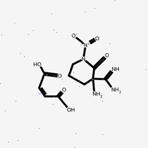 N=C(N)C1(N)CCCN([N+](=O)[O-])C1=O.O=C(O)/C=C\C(=O)O